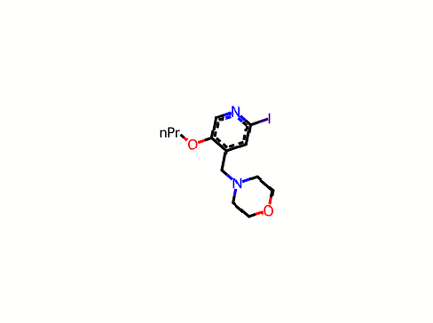 CCCOc1cnc(I)cc1CN1CCOCC1